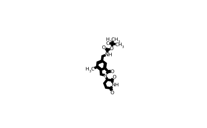 Cc1cc(CNC(=O)OC(C)(C)C)cc2c1CN(C1CCC(=O)NC1=O)C2=O